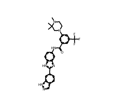 CN1CCN(c2cc(C(=O)Nc3ccc4[nH]c(-c5ccc6cn[nH]c6c5)nc4c3)cc(C(F)(F)F)c2)CC1(C)C